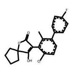 Cc1c(-c2ccc(F)cc2)ccc(Cl)c1C1=C(O)C2(CCCC2)OC1=O